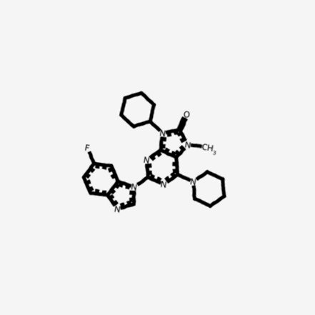 Cn1c(=O)n(C2CCCCC2)c2nc(-n3cnc4ccc(F)cc43)nc(N3CCCCC3)c21